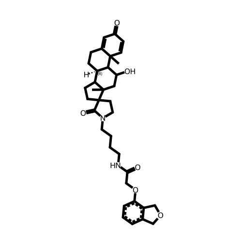 CC12C=CC(=O)C=C1CC[C@H]1C2C(O)CC2(C)C1CCC21CCN(CCCCNC(=O)COc2cccc3c2COC3)C1=O